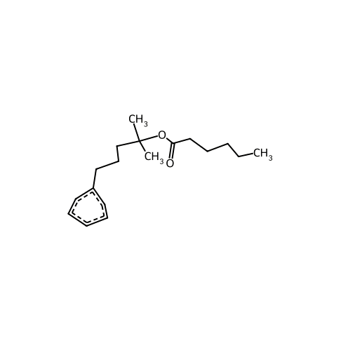 CCCCCC(=O)OC(C)(C)CCCc1ccccc1